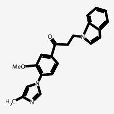 COc1cc(C(=O)CCn2ccc3ccccc32)ccc1-n1cnc(C)c1